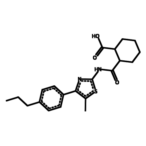 CCCc1ccc(-c2nc(NC(=O)C3CCCCC3C(=O)O)sc2C)cc1